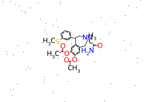 CC(N)=O.CSc1cccc(C2CNCCc3cc(OC(C)=O)c(OC(C)=O)cc32)c1